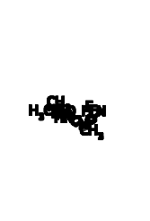 CC(C)c1ccc(C(=O)N[C@H]2CC[C@H](N(C)c3ccc(C#N)c(C(F)(F)F)c3)CC2)nn1